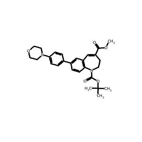 COC(=O)C1=Cc2cc(-c3ccc(N4CCOCC4)cc3)ccc2N(C(=O)OC(C)(C)C)CC1